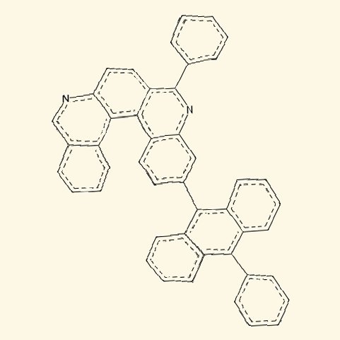 c1ccc(-c2c3ccccc3c(-c3ccc4c(c3)nc(-c3ccccc3)c3ccc5ncc6ccccc6c5c34)c3ccccc23)cc1